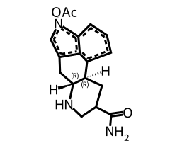 CC(=O)On1cc2c3c(cccc31)[C@H]1CC(C(N)=O)CN[C@@H]1C2